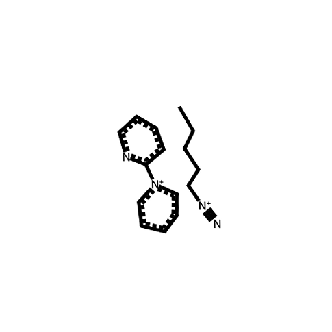 CCCCC[N+]#N.c1cc[n+](-c2ccccn2)cc1